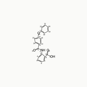 O=C(Nc1ccccc1C(=O)O)c1ccc(Oc2ccccc2)cc1